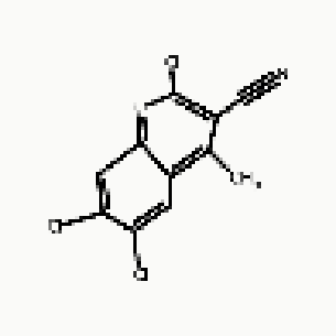 Cc1c(C#N)c(Cl)nc2cc(Cl)c(Cl)cc12